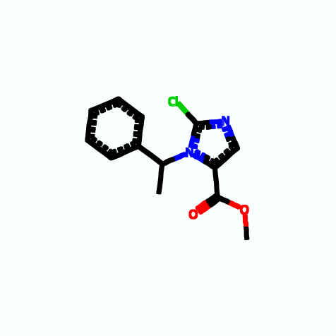 COC(=O)c1cnc(Cl)n1C(C)c1ccccc1